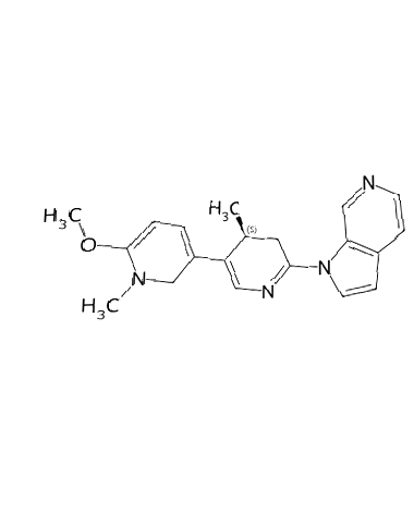 COC1=CC=C(C2=CN=C(n3ccc4ccncc43)C[C@@H]2C)CN1C